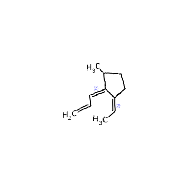 C=C/C=C1\C(=C/C)CCC1C